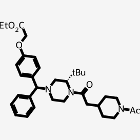 CCOC(=O)COc1ccc(C(c2ccccc2)N2CCN(C(=O)CC3CCN(C(C)=O)CC3)[C@@H](C(C)(C)C)C2)cc1